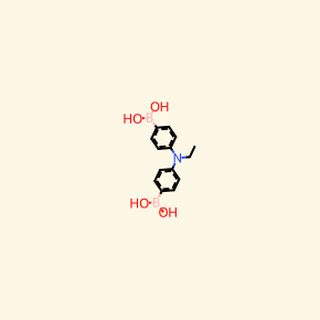 CCN(c1ccc(B(O)O)cc1)c1ccc(B(O)O)cc1